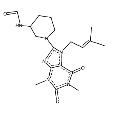 CC(C)=CCn1c(N2CCCC(NC=O)C2)nc2c1c(=O)n(C)c(=O)n2C